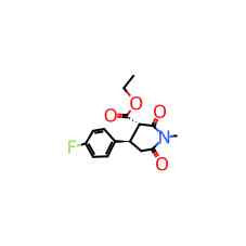 CCOC(=O)[C@@H]1C(=O)N(C)C(=O)C[C@H]1c1ccc(F)cc1